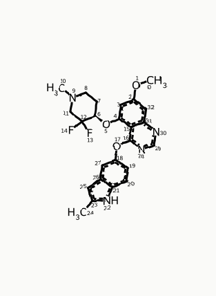 COc1cc(O[C@@H]2CCN(C)CC2(F)F)c2c(Oc3ccc4[nH]c(C)cc4c3)ncnc2c1